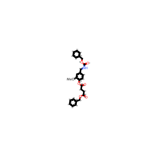 COc1cc(CNC(=O)OCc2ccccc2)ccc1OC(=O)CCC(=O)OCc1ccccc1